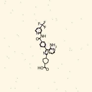 Nc1nccn2c(C3CCC(C(=O)O)CC3)nc(-c3ccc(C(=O)Nc4cc(C(F)(F)F)ccn4)cc3)c12